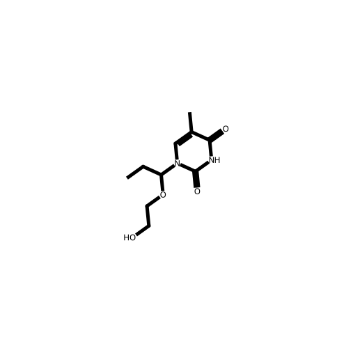 CCC(OCCO)n1cc(C)c(=O)[nH]c1=O